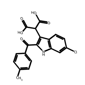 Cc1ccc(C(=O)c2[nH]c3cc(Cl)ccc3c2C(C(=O)O)C(=O)O)cc1